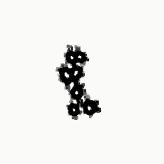 c1ccc(N(c2ccccc2)c2ccc(-c3ccc(-c4cccc5ccccc45)c4ccccc34)cc2)cc1